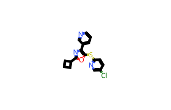 Clc1ccc(Sc2oc(C3CCC3)nc2-c2cccnc2)nc1